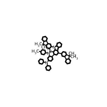 Cc1ccc(N2B3c4cc5c(cc4-n4c6ccccc6c6c(-c7ccc8c(c7)-c7ccccc7C8(C)C)cc(c3c64)-c3ccc(N(c4ccccc4)c4ccccc4)cc32)-c2ccccc2C5(C)C)cc1